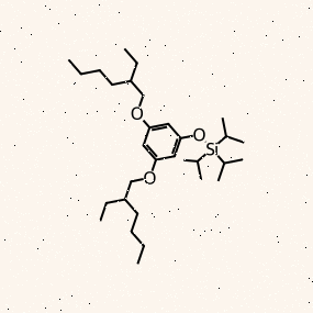 CCCCC(CC)COc1cc(OCC(CC)CCCC)cc(O[Si](C(C)C)(C(C)C)C(C)C)c1